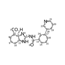 O=C(Nc1nc2c(C(=O)O)cccc2[nH]1)c1cccc(-c2cccnc2)c1